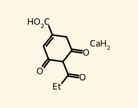 CCC(=O)C1C(=O)C=C(C(=O)O)CC1=O.[CaH2]